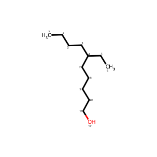 CCCCC(CC)CCCCCO